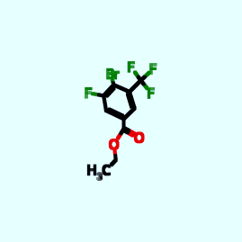 CCOC(=O)c1cc(F)c(Br)c(C(F)(F)F)c1